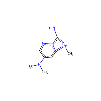 CN(C)c1cnn2c(N)n[n+](C)c2c1